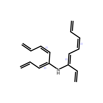 C=C/C=C\C=C(/C=C)NC(/C=C\C=C)=C/C=C